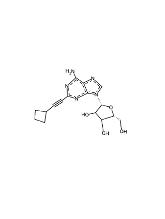 Nc1nc(C#CC2CCC2)nc2c1ncn2[C@@H]1O[C@H](CO)C(O)C1O